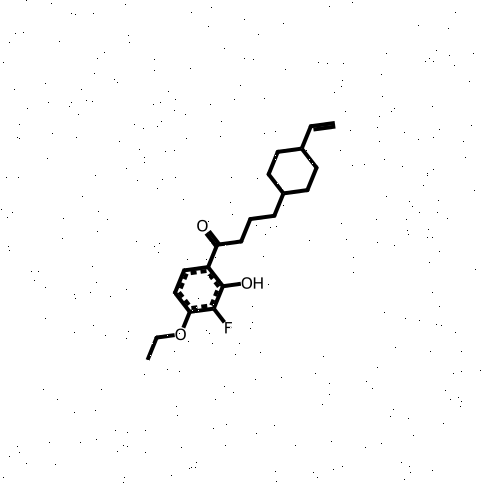 C=CC1CCC(CCCC(=O)c2ccc(OCC)c(F)c2O)CC1